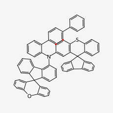 c1ccc(-c2ccc(-c3ccccc3N(c3ccc4c(c3)C3(c5ccccc5S4)c4ccccc4-c4ccccc43)c3cccc4c3-c3ccccc3C43c4ccccc4Oc4ccccc43)cc2)cc1